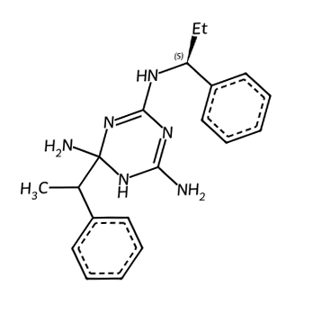 CC[C@H](NC1=NC(N)(C(C)c2ccccc2)NC(N)=N1)c1ccccc1